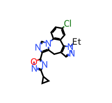 CCn1ncc2c1-c1cc(Cl)ccc1-n1cnc(-c3nc(C4CC4)no3)c1C2